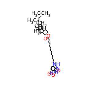 CC(C)CCC[C@@H](C)[C@H]1CC[C@H]2[C@@H]3CC=C4C[C@@H](OC(=O)CCCCCCCCCCCCNc5ccc([N+](=O)[O-])c6nonc56)CC[C@]4(C)[C@H]3CC[C@]12C